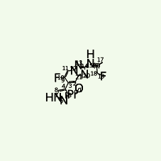 CC(C)Oc1c(-c2cn[nH]c2)c(F)cn2nc(N[C@@H](C)CF)nc12